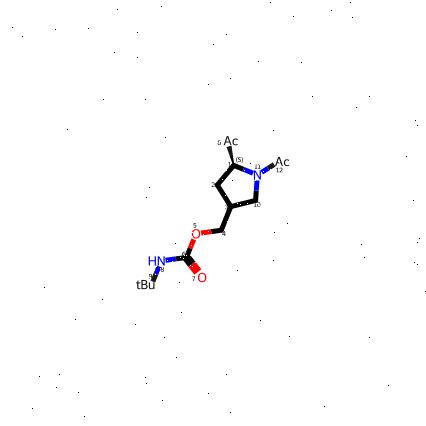 CC(=O)[C@@H]1CC(COC(=O)NC(C)(C)C)CN1C(C)=O